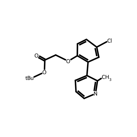 Cc1ncccc1-c1cc(Cl)ccc1OCC(=O)OC(C)(C)C